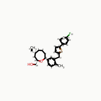 C=C[C@@H]1CCC[C@H](c2ccc(C)c(Cc3ccc(-c4ccc(F)cc4)s3)c2)O[C@H](CO)C1